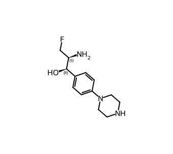 N[C@H](CF)[C@H](O)c1ccc(N2CCNCC2)cc1